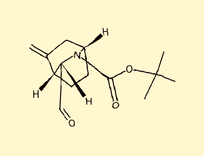 C=C1C[C@@H]2CC[C@H]1[C@@H](C=O)N2C(=O)OC(C)(C)C